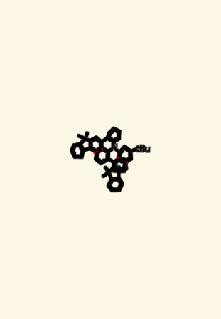 CC(C)(C)c1cc(N(c2ccccc2-c2ccc3c(c2)C(C)(C)c2ccccc2-3)c2ccccc2-c2cccc3c2C(C)(C)c2ccccc2-3)cc(C(C)(C)C)c1